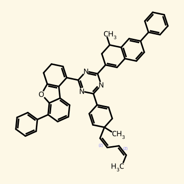 C/C=C\C=C/C1(C)C=CC(c2nc(C3=Cc4ccc(-c5ccccc5)cc4C(C)C3)nc(C3=CCCc4oc5c(-c6ccccc6)cccc5c43)n2)=CC1